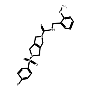 COc1ccccc1CNC(=O)N1CC2=C(C1)CN(S(=O)(=O)c1ccc(F)cc1)C2